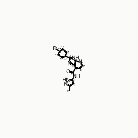 Cc1cc(NC(=O)c2ccnc3[nH]c(-c4ccc(F)cc4)nc23)[nH]n1